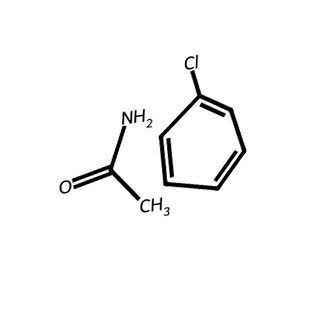 CC(N)=O.Clc1ccccc1